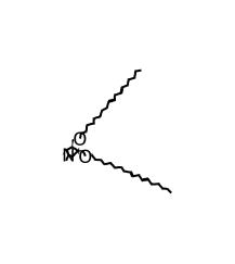 CCCCCC=CCC=CCCCCCCCCOC[C@@H]1C[N+](C)(C)C[C@H]1COCCCCCCCCC=CCC=CCCCCC